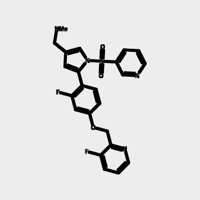 CNCc1cc(-c2ccc(OCc3ncccc3F)cc2F)n(S(=O)(=O)c2cccnc2)c1